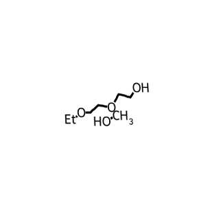 CCOCCOCCO.CO